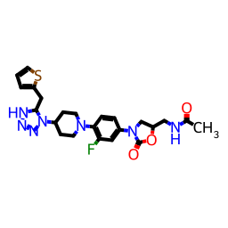 CC(=O)NCC1CN(c2ccc(N3CCC(N4N=NNC4Cc4cccs4)CC3)c(F)c2)C(=O)O1